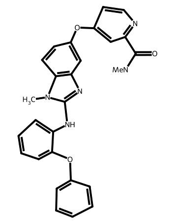 CNC(=O)c1cc(Oc2ccc3c(c2)nc(Nc2ccccc2Oc2ccccc2)n3C)ccn1